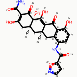 NC(=O)C1=C(O)C[C@@H]2C[C@@H]3Cc4c(NC(=O)c5ccno5)ccc(O)c4C(=O)C3=C(O)[C@]2(O)C1=O